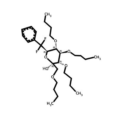 CCCCOC[C@@]1(O)O[C@@H](C(F)(F)c2ccccc2)[C@H](OCCCC)[C@@H](OCCCC)[C@@H]1OCCCC